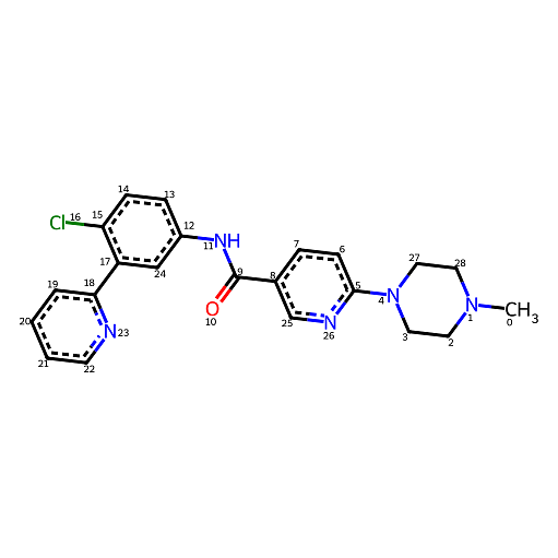 CN1CCN(c2ccc(C(=O)Nc3ccc(Cl)c(-c4ccccn4)c3)cn2)CC1